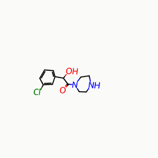 O=C(C(O)c1cccc(Cl)c1)N1CCNCC1